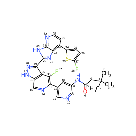 CC(C)(C)CC(=O)Nc1cncc(-c2ncc3[nH]nc(-c4nc5c(-c6ccc(F)s6)ccnc5[nH]4)c3c2F)c1